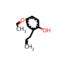 C=CCc1ccccc1O.CC=O